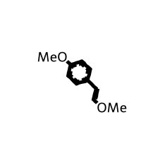 COC=Cc1ccc(OC)cc1